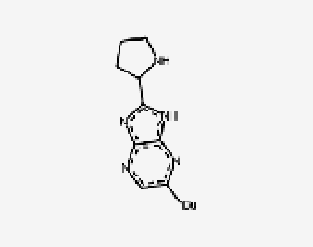 CCC(C)c1cnc2nc(C3CCCN3)[nH]c2n1